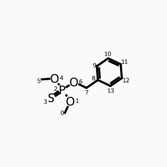 COP(=S)(OC)OCc1ccccc1